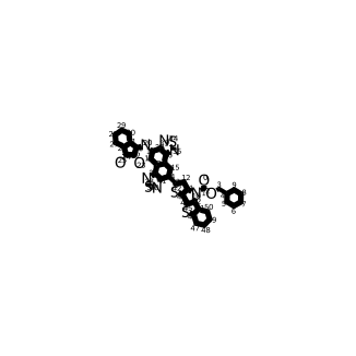 O=C(OCc1ccccc1)n1c2cc(-c3cc4c(cc(/N=c5\c(=O)c(=O)c6ccccc56)c5nsnc54)c4nsnc34)sc2c2sc3ccccc3c21